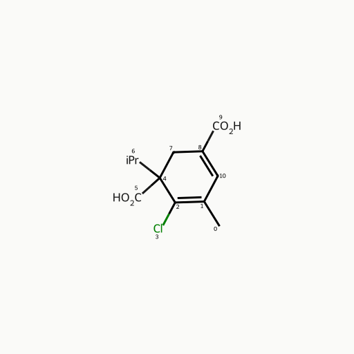 CC1=C(Cl)C(C(=O)O)(C(C)C)CC(C(=O)O)=C1